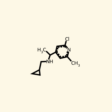 Cc1cc(C(C)NCC2CC2)cc(Cl)n1